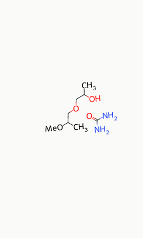 COC(C)COCC(C)O.NC(N)=O